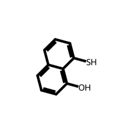 Oc1cccc2cccc(S)c12